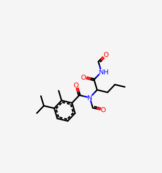 CCCC(C(=O)NC=O)N(C=O)C(=O)c1cccc(C(C)C)c1C